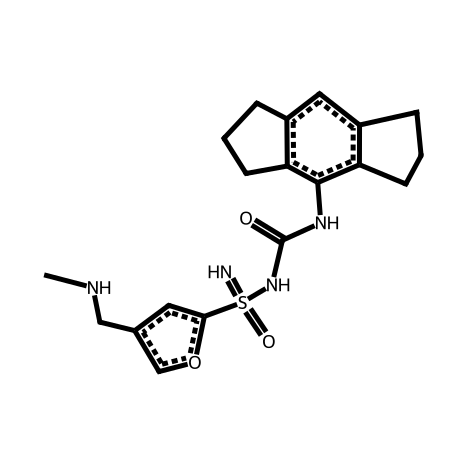 CNCc1coc(S(=N)(=O)NC(=O)Nc2c3c(cc4c2CCC4)CCC3)c1